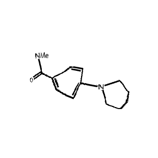 CNC(=O)c1ccc(N2CCCC2)cc1